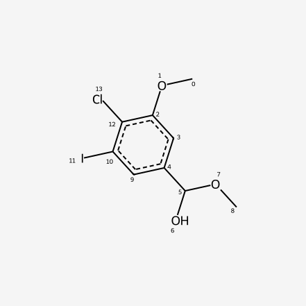 COc1cc(C(O)OC)cc(I)c1Cl